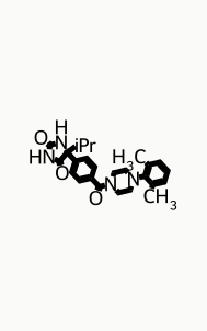 Cc1cccc(C)c1N1CCN(C(=O)c2ccc(C3(C(C)C)NC(=O)NC3=O)cc2)CC1